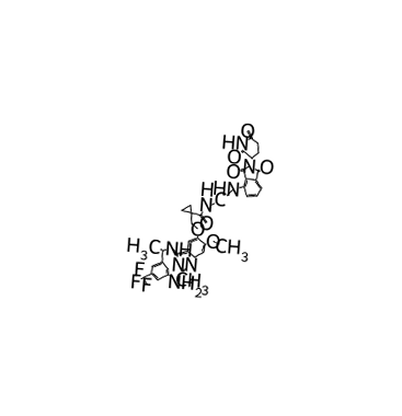 COc1cc2nc(C)nc(N[C@H](C)c3cc(N)cc(C(F)(F)F)c3)c2cc1OCC1(C(=O)NCCCNc2cccc3c2C(=O)N(C2CCC(=O)NC2=O)C3=O)CC1